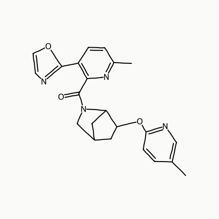 Cc1ccc(OC2CC3CC2N(C(=O)c2nc(C)ccc2-c2ncco2)C3)nc1